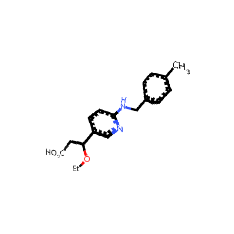 CCOC(CC(=O)O)c1ccc(NCc2ccc(C)cc2)nc1